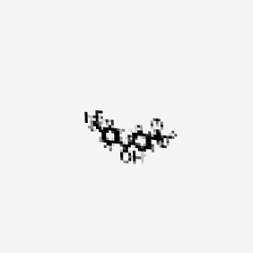 COC(=O)c1ccc(C(O)c2ccc(C(F)(F)F)cc2)cc1